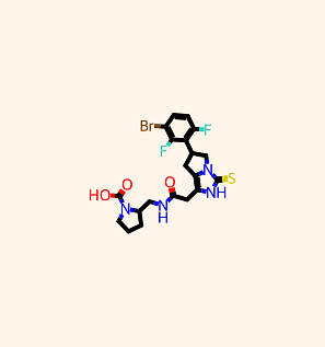 O=C(Cc1[nH]c(=S)n2c1CC(c1c(F)ccc(Br)c1F)C2)NCC1CCCN1C(=O)O